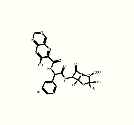 CC1(C)S[C@@H]2C(NC(=O)C(NC(=O)c3nc4cncnc4nc3O)c3ccccc3)C(=O)N2[C@H]1C(=O)[O-].[K+]